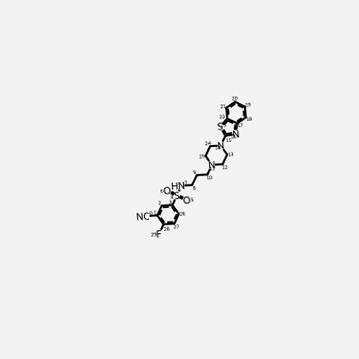 N#Cc1cc(S(=O)(=O)NCCCN2CCN(c3nc4ccccc4s3)CC2)ccc1F